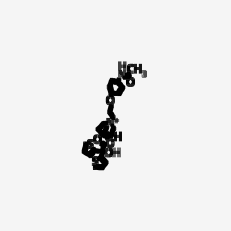 CC(=O)Nc1ccc(OCCC[N+]23CCC(CC2)[C@@H](OC(=O)C(O)(c2cccs2)c2cccs2)C3)cc1